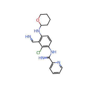 N=Cc1c(NC2CCCCO2)ccc(NC(=N)c2ccccn2)c1Cl